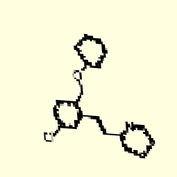 Clc1ccc(COc2ccccc2)c(/C=C/c2ccccn2)c1